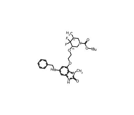 C[C@H]1CN(C(=O)OC(C)(C)C)C[C@@H](OCCOc2cc(NCc3ccccc3)cc3[nH]c(=O)n(C)c23)C1(F)F